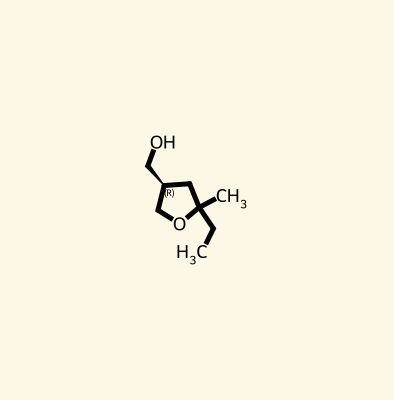 CCC1(C)C[C@H](CO)CO1